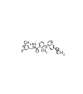 COc1ccc2c(Oc3cccc(C(=O)NCc4cc(C)nc(F)c4)c3C)ccnc2c1